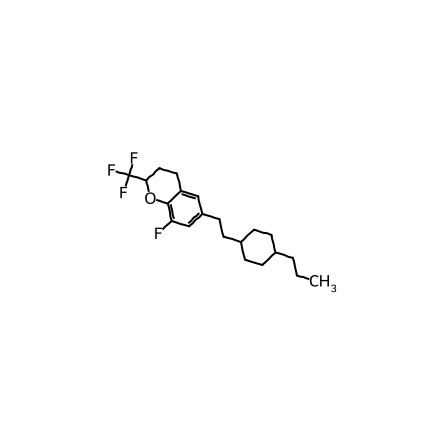 CCCC1CCC(CCc2cc(F)c3c(c2)CCC(C(F)(F)F)O3)CC1